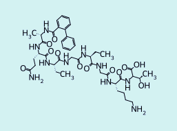 CC[C@H](NC(=O)CNC(=O)[C@H](CC)NC(=O)[C@H](CCC(N)=O)NC(=O)[C@H](C)NC(=O)c1ccccc1-c1ccccc1)C(=O)NCC(=O)N[C@@H](CCCCN)C(=O)NC(C(=O)O)[C@@H](C)O